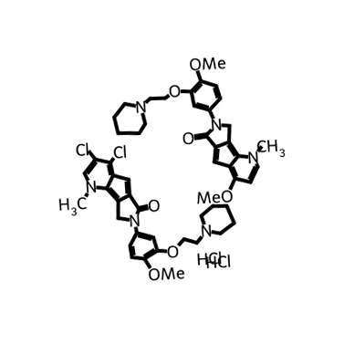 COc1ccc(N2Cc3c(cc4c(Cl)c(Cl)cn(C)c3-4)C2=O)cc1OCCN1CCCCC1.COc1ccc(N2Cc3c(cc4c(OC)ccn(C)c3-4)C2=O)cc1OCCN1CCCCC1.Cl.Cl